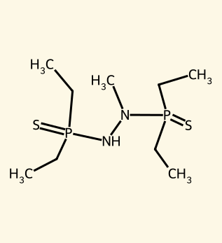 CCP(=S)(CC)NN(C)P(=S)(CC)CC